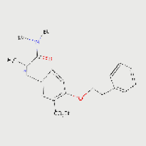 CCOC(=O)c1cc(/C=C(/C)C(=O)N(CC)CC)ccc1OCCc1ccccc1